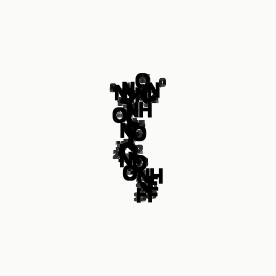 CN1CCN(c2nn(C)cc2NC(=O)c2coc(-c3ccnc(OC(=O)NCC(F)(F)F)c3)n2)C1=O